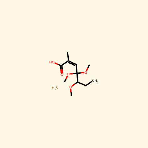 COC(C[SiH3])C(C=C(C)C(=O)O)(OC)OC.S